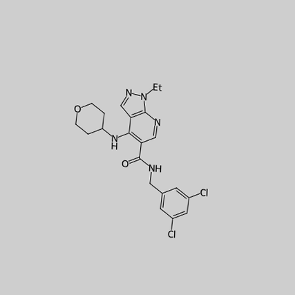 CCn1ncc2c(NC3CCOCC3)c(C(=O)NCc3cc(Cl)cc(Cl)c3)cnc21